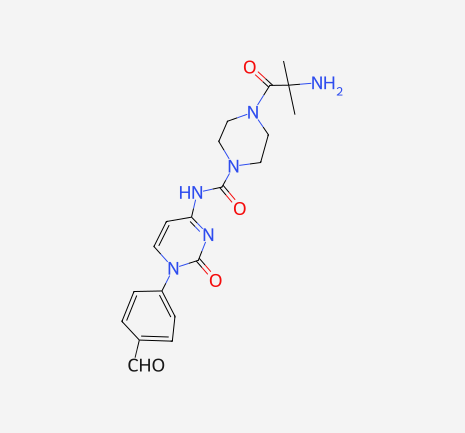 CC(C)(N)C(=O)N1CCN(C(=O)Nc2ccn(-c3ccc(C=O)cc3)c(=O)n2)CC1